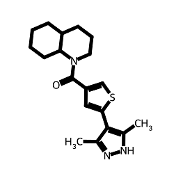 Cc1n[nH]c(C)c1-c1cc(C(=O)N2CCCC3CCCCC32)cs1